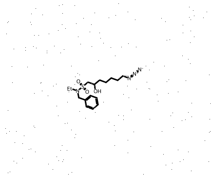 CCN(Cc1ccccc1)S(=O)(=O)CC(O)CCCCCN=[N+]=[N-]